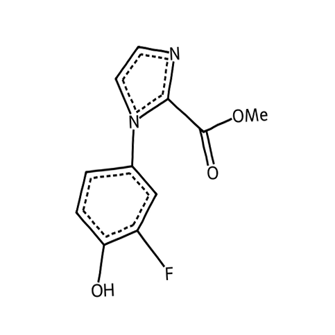 COC(=O)c1nccn1-c1ccc(O)c(F)c1